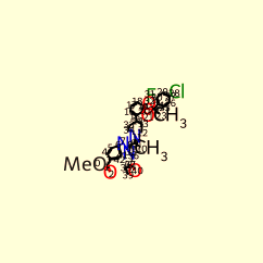 COC(=O)c1ccc2nc([C@H](C)N3CCC(c4cccc5c4OC(C)(c4ccc(Cl)cc4F)O5)CC3)n(C[C@@H]3CCO3)c2c1